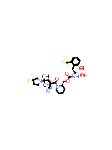 CC(C)(/C=C(\C#N)C(=O)N1CCCC[C@@H]1COC(=O)N[C@@H](Cc1ccccc1C(F)(F)F)B(O)O)N1CCC(F)(F)C1